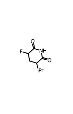 CC(C)C1CC(F)C(=O)NC1=O